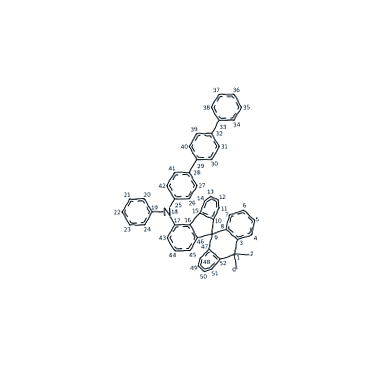 CC1(C)c2ccccc2C2(c3ccccc3-c3c(N(c4ccccc4)c4ccc(-c5ccc(-c6ccccc6)cc5)cc4)cccc32)c2ccccc21